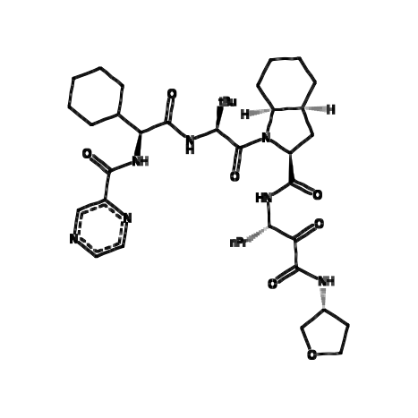 CCC[C@H](NC(=O)[C@@H]1C[C@@H]2CCCC[C@@H]2N1C(=O)[C@@H](NC(=O)[C@@H](NC(=O)c1cnccn1)C1CCCCC1)C(C)(C)C)C(=O)C(=O)N[C@@H]1CCOC1